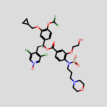 O=C(O[C@@H](Cc1c(Cl)c[n+]([O-])cc1Cl)c1ccc(OC(F)F)c(OCC2CC2)c1)c1ccc(N(CCCN2CCOCC2)[SH](=O)=O)c(OCCO)c1